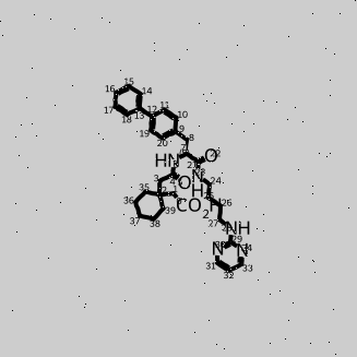 O=C(O)CC1(CC(=O)N[C@@H](Cc2ccc(-c3ccccc3)cc2)C(=O)NCCCCNc2ncccn2)CCCCC1